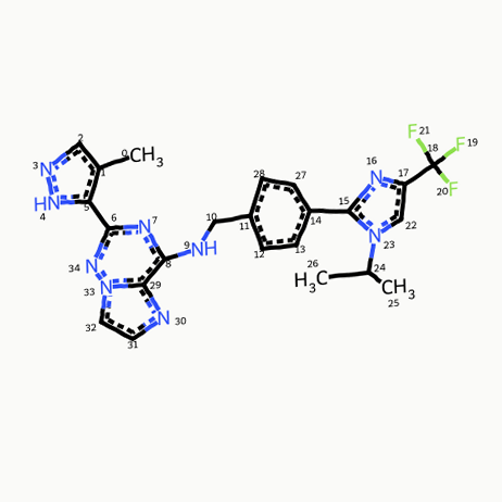 Cc1cn[nH]c1-c1nc(NCc2ccc(-c3nc(C(F)(F)F)cn3C(C)C)cc2)c2nccn2n1